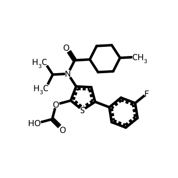 CC1CCC(C(=O)N(c2cc(-c3cccc(F)c3)sc2OC(=O)O)C(C)C)CC1